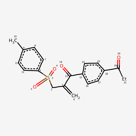 C=C(CS(=O)(=O)c1ccc(C)cc1)C(=O)c1ccc(C(=O)CC)cc1